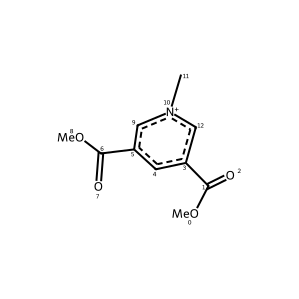 COC(=O)c1cc(C(=O)OC)c[n+](C)c1